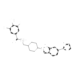 O=C(NCC1CCC(n2cc3ccc(-c4nccs4)cc3n2)CC1)c1cc(F)c(O)c(F)c1